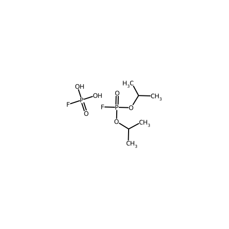 CC(C)OP(=O)(F)OC(C)C.O=P(O)(O)F